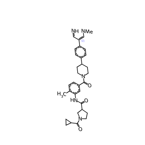 CN/C=C(\C=N)c1ccc(C2CCN(C(=O)c3ccc(C)c(NC(=O)C4CCN(C(=O)C5CC5)C4)c3)CC2)cc1